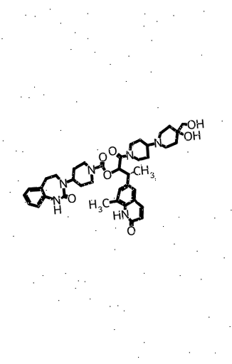 Cc1cc([C@@H](C)C(OC(=O)N2CCC(N3CCc4ccccc4NC3=O)CC2)C(=O)N2CCC(N3CCC(O)(CO)CC3)CC2)cc2ccc(=O)[nH]c12